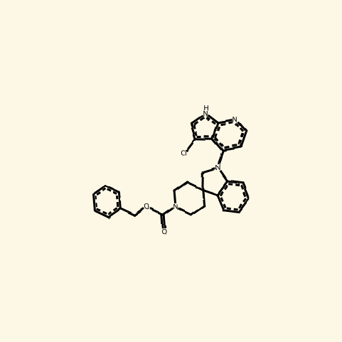 O=C(OCc1ccccc1)N1CCC2(CC1)CN(c1ccnc3[nH]cc(Cl)c13)c1ccccc12